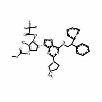 COC(=O)N[C@H]1C[C@@H](n2cnc3c(NCC(c4ccccc4)c4ccccc4)nc(N4CC[C@@H](N)C4)nc32)[C@H](OC(=O)C(F)(F)F)[C@@H]1O